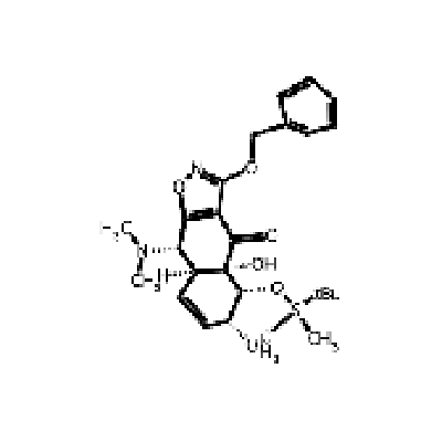 CN(C)[C@@H]1c2onc(OCc3ccccc3)c2C(=O)[C@@]2(O)[C@H](O[Si](C)(C)C(C)(C)C)[C@H](O)C=C[C@@H]12